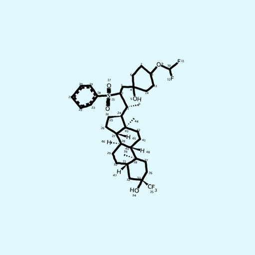 C[C@@H](C(CC1(O)CCC(OC(F)F)CC1)S(=O)(=O)c1ccccc1)[C@@H]1CC[C@H]2[C@@H]3CC[C@H]4C[C@](O)(C(F)(F)F)CC[C@]4(C)[C@H]3CC[C@@]21C